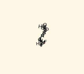 C[C@@H]1Cc2c([nH]c3ccccc23)[C@@H](c2cnc(OC3CC(CCN4CCC5(CC4)CCN(c4ccc6c(c4)CN(C4CCC(=O)NC4=O)C6=O)CC5)C3)nc2)N1CC(C)(C)F